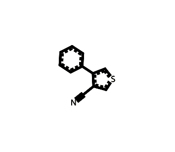 N#Cc1cscc1-c1ccccc1